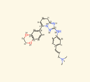 CN(C)C/C=C/c1ccc(Nc2nc3cccc(-c4ccc5c(c4)OCCO5)n3n2)cc1